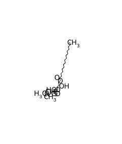 CCCCCCCCCCCCCCCCC(=O)OCC(O)COP(=O)(O)OCC[N+](C)(C)C